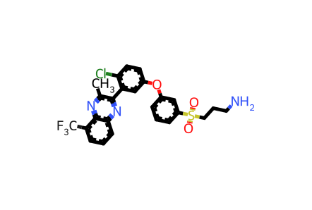 Cc1nc2c(C(F)(F)F)cccc2nc1-c1cc(Oc2cccc(S(=O)(=O)CCCN)c2)ccc1Cl